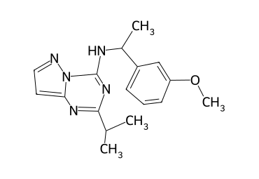 COc1cccc(C(C)Nc2nc(C(C)C)nc3ccnn23)c1